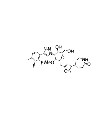 CO[C@@H]1[C@@H](n2cc(-c3ccc(C)c(F)c3F)nn2)[C@@H](O)[C@@H](CO)O[C@@H]1Cc1cc(C2CCNC(=O)CC2)no1